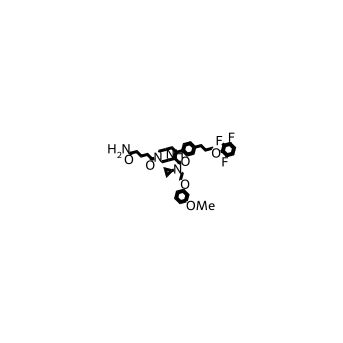 COc1cccc(OCCN(C(=O)C2=C(c3ccc(CCCOc4c(F)ccc(F)c4F)cc3)CC3CN(C(=O)CCCC(N)=O)CC2N3)C2CC2)c1